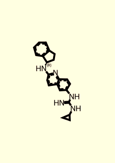 N=C(Nc1ccc2nc(N[C@@H]3CCc4ccccc43)ccc2c1)NC1CC1